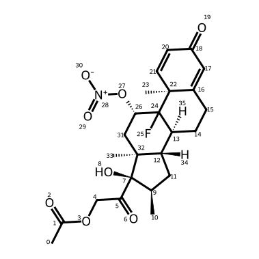 CC(=O)OCC(=O)[C@@]1(O)[C@H](C)C[C@H]2[C@@H]3CCC4=CC(=O)C=C[C@]4(C)C3(F)[C@@H](O[N+](=O)[O-])C[C@@]21C